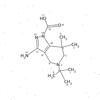 CC1(C)CN(C(C)(C)C)Cc2c(N)nn(C(=O)O)c21